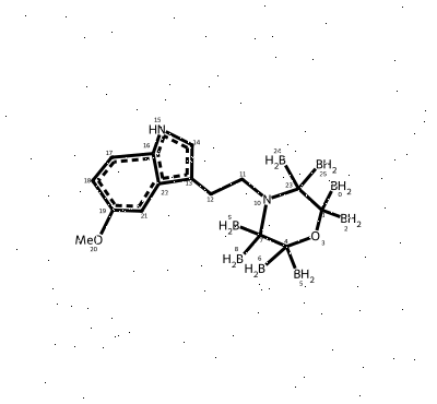 BC1(B)OC(B)(B)C(B)(B)N(CCc2c[nH]c3ccc(OC)cc23)C1(B)B